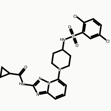 O=C(Nc1nc2cccc(N3CCC(NS(=O)(=O)c4cc(Cl)ccc4Cl)CC3)n2n1)C1CC1